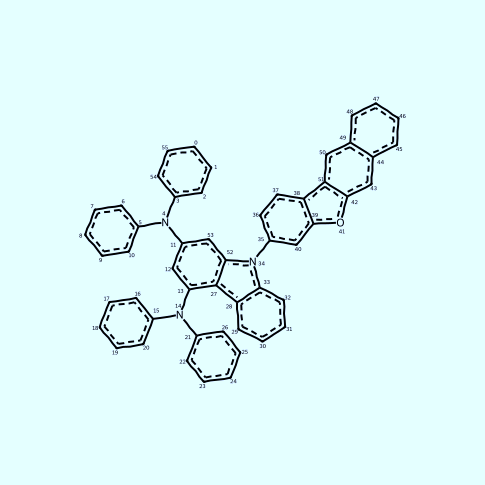 c1ccc(N(c2ccccc2)c2cc(N(c3ccccc3)c3ccccc3)c3c4ccccc4n(-c4ccc5c(c4)oc4cc6ccccc6cc45)c3c2)cc1